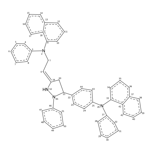 C(CN(c1ccccc1)c1cccc2ccccc12)=C1CC(c2ccc(N(c3ccccc3)c3cccc4ccccc34)cc2)N(c2ccccc2)N1